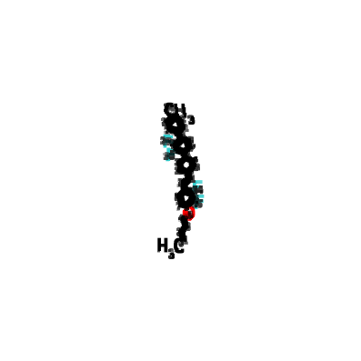 CCCCCOc1ccc(/C=C/C2CCC(c3ccc(-c4ccc(C)cc4)c(F)c3F)CC2)c(F)c1F